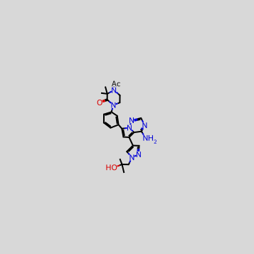 CC(=O)N1CCN(c2cccc(-c3cc(-c4cnn(CC(C)(C)O)c4)c4c(N)ncnn34)c2)C(=O)C1(C)C